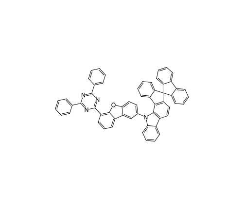 c1ccc(-c2nc(-c3ccccc3)nc(-c3cccc4c3oc3ccc(-n5c6ccccc6c6ccc7c(c65)-c5ccccc5C75c6ccccc6-c6ccccc65)cc34)n2)cc1